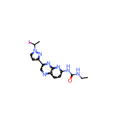 CCNC(=O)Nc1ccc2ncc(-c3ccn(C(C)I)n3)nc2n1